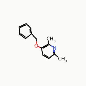 Cc1ccc(OCc2ccccc2)c(C)n1